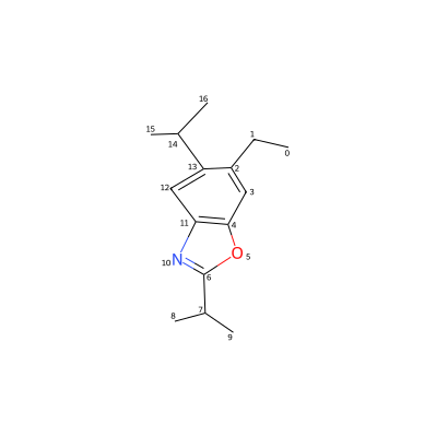 CCc1cc2oc(C(C)C)nc2cc1C(C)C